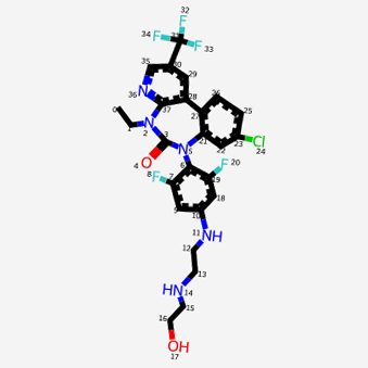 CCN1C(=O)N(c2c(F)cc(NCCNCCO)cc2F)c2cc(Cl)ccc2-c2cc(C(F)(F)F)cnc21